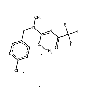 CSC(=NC(=O)C(F)(F)F)N(C)Cc1ccc(Cl)nc1